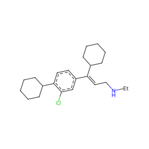 CCNCC=C(c1ccc(C2CCCCC2)c(Cl)c1)C1CCCCC1